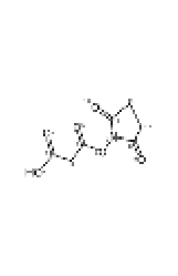 O=C(O)CC(=O)ON1C(=O)CCC1=O